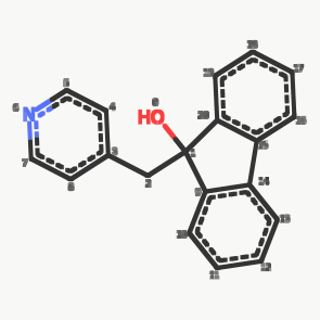 OC1(Cc2ccncc2)c2ccccc2-c2ccccc21